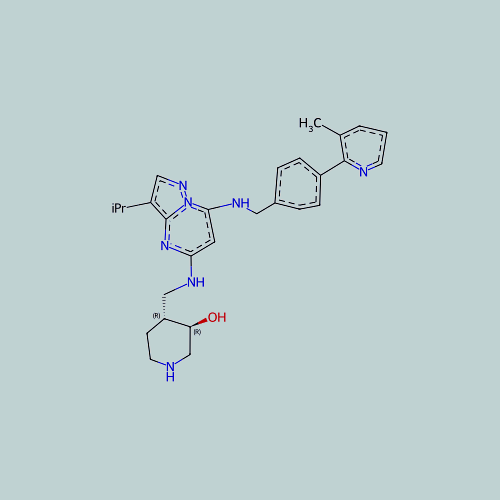 Cc1cccnc1-c1ccc(CNc2cc(NC[C@H]3CCNC[C@@H]3O)nc3c(C(C)C)cnn23)cc1